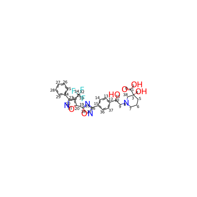 O=C(O)C1(O)CCCN(CC(O)c2ccc(-c3noc(-c4onc(-c5ccccc5)c4C(F)(F)F)n3)cc2)C1